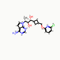 C[C@H]([C@H](O)[C@H](O)C1CC(COc2cccc(Cl)n2)C1)n1ccc2c(N)ncnc21